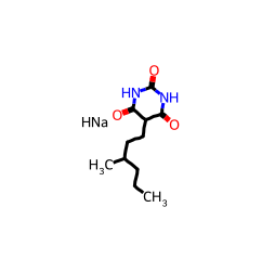 CCCC(C)CCC1C(=O)NC(=O)NC1=O.[NaH]